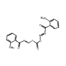 CC(C)COc1ccccc1C(=O)N=NOC(=O)ON=NC(=O)c1ccccc1OCC(C)C